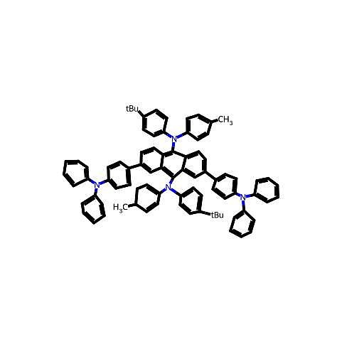 Cc1ccc(N(c2ccc(C(C)(C)C)cc2)c2c3ccc(-c4ccc(N(c5ccccc5)c5ccccc5)cc4)cc3c(N(C3=CCC(C)C=C3)c3ccc(C(C)(C)C)cc3)c3cc(-c4ccc(N(c5ccccc5)c5ccccc5)cc4)ccc23)cc1